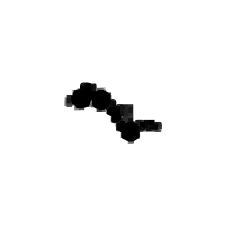 COc1cccc(CNC[C@H](O)COc2ccc(-c3noc4cc(F)ccc34)cc2)c1